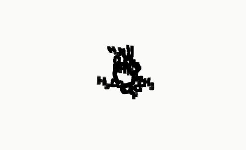 CCN1Cc2c(ccc(F)c2Cl)OC(C)CNC(=O)C2=C3N=C1C=CN3NC2N